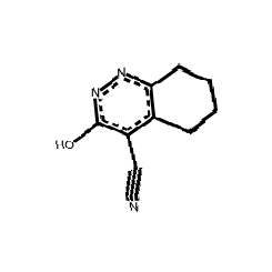 N#Cc1c(O)nnc2c1CCCC2